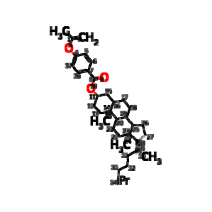 C=C(C)Oc1ccc(C(=O)OC2CC[C@@]3(C)C(CCC4C3CC[C@@]3(C)C4CC[C@@H]3[C@H](C)CCCC(C)C)C2)cc1